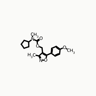 COc1ccc(-c2onc(C)c2COC(=O)N(C)C2CCCC2)cc1